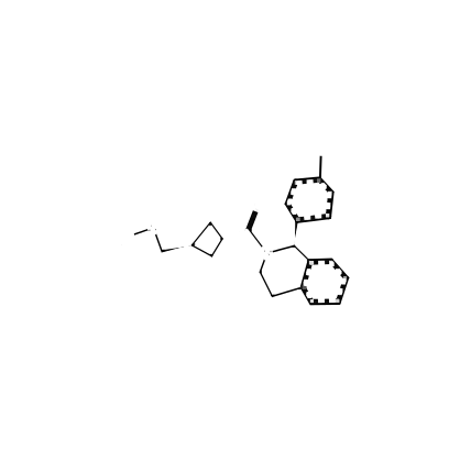 O=C(O)NC[C@H]1C[C@H](C(=O)N2CCc3ccccc3[C@@H]2c2ccc(F)cc2)C1